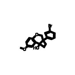 COc1ccc2c(c1)C1(O)CCC1(c1cccc(Br)c1)CO2